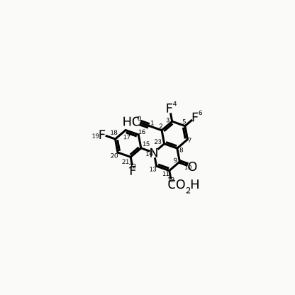 C#Cc1c(F)c(F)cc2c(=O)c(C(=O)O)cn(-c3ccc(F)cc3F)c12